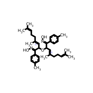 CC(C)=CCC/C(C)=C/C(OC(/C=C(\C)CCC=C(C)C)C(=NO)c1ccc(C)cc1)C(=NO)c1ccc(C)cc1